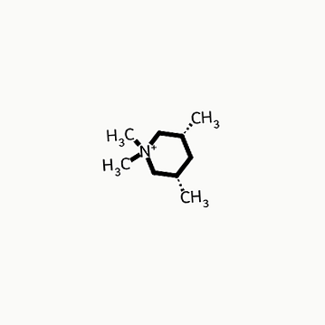 C[C@@H]1C[C@H](C)C[N+](C)(C)C1